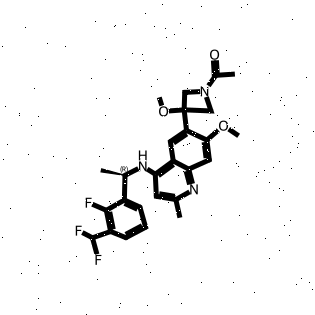 COc1cc2nc(C)cc(N[C@H](C)c3cccc(C(F)F)c3F)c2cc1C1(OC)CN(C(C)=O)C1